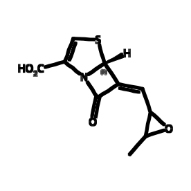 CC1OC1C=C1C(=O)N2C(C(=O)O)=CS[C@H]12